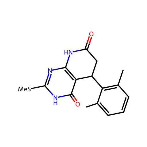 CSc1nc2c(c(=O)[nH]1)C(c1c(C)cccc1C)CC(=O)N2